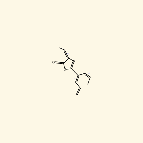 C=C/C=C(\C=C/C)C1=N/C(=C/C)C(=O)O1